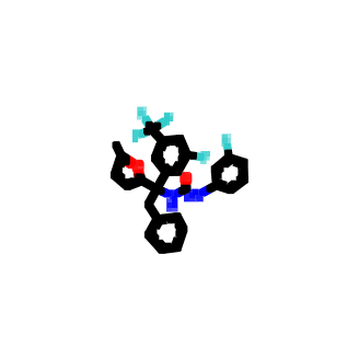 Cc1ccc(C(Cc2ccccc2)(NC(=O)Nc2cccc(F)c2)c2cc(F)cc(C(F)(F)F)c2)o1